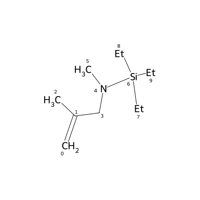 C=C(C)CN(C)[Si](CC)(CC)CC